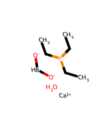 CCP(CC)CC.O.[Ca+2].[O-]B[O-]